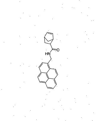 O=C(NCc1ccc2ccc3cccc4ccc1c2c34)C1CC2C=CC1C2